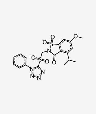 COc1cc(C(C)C)c2c(c1)S(=O)(=O)N(CS(=O)(=O)c1nnnn1-c1ccccc1)C2=O